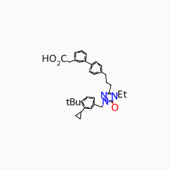 CCn1c(CCCc2ccc(-c3cccc(CC(=O)O)c3)cc2)nn(Cc2ccc(C(C)(C)C)c(C3CC3)c2)c1=O